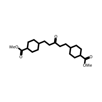 COC(=O)C1CCC(CCC(=O)CCC2CCC(C(=O)OC)CC2)CC1